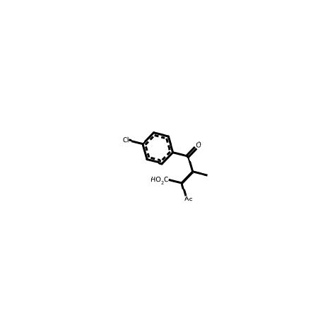 CC(=O)C(C(=O)O)C(C)C(=O)c1ccc(Cl)cc1